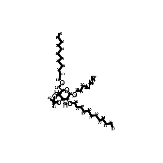 CCCCCCCCCCCCOC[C@H]1O[C@@H](OCCCN=[N+]=[N-])[C@H](OCCCCCCCCCCCC)[C@H]2OC(C)(C)O[C@H]21